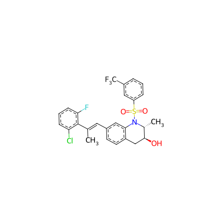 C/C(=C\c1ccc2c(c1)N(S(=O)(=O)c1cccc(C(F)(F)F)c1)[C@H](C)[C@@H](O)C2)c1c(F)cccc1Cl